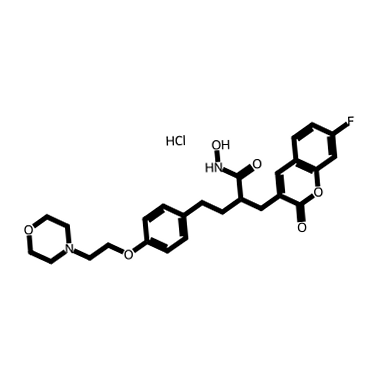 Cl.O=C(NO)C(CCc1ccc(OCCN2CCOCC2)cc1)Cc1cc2ccc(F)cc2oc1=O